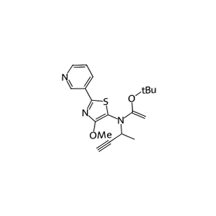 C#CC(C)N(C(=C)OC(C)(C)C)c1sc(-c2cccnc2)nc1OC